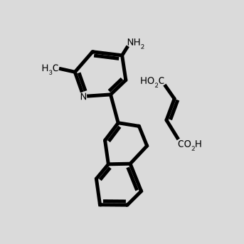 Cc1cc(N)cc(C2=Cc3ccccc3CC2)n1.O=C(O)C=CC(=O)O